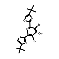 CC(C)(C)c1coc(-c2nc(-c3nc(C(C)(C)C)co3)c(Br)cc2Br)n1.[Co]